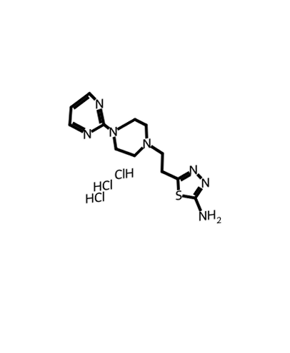 Cl.Cl.Cl.Nc1nnc(CCN2CCN(c3ncccn3)CC2)s1